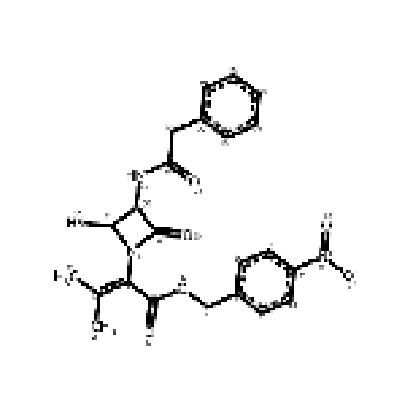 CC(C)=C(C(=O)OCc1ccc([N+](=O)[O-])cc1)N1C(=O)C(NC(=O)Cc2ccccc2)C1S